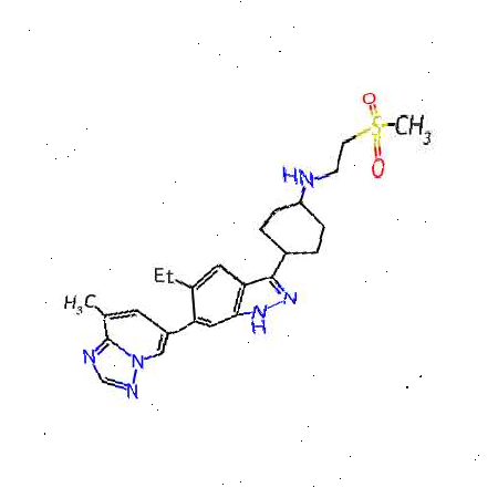 CCc1cc2c(C3CCC(NCCS(C)(=O)=O)CC3)n[nH]c2cc1-c1cc(C)c2ncnn2c1